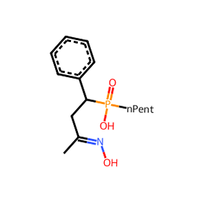 CCCCCP(=O)(O)C(CC(C)=NO)c1ccccc1